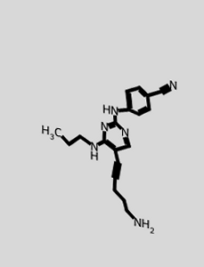 CCCNc1nc(Nc2ccc(C#N)cc2)ncc1C#CCCCN